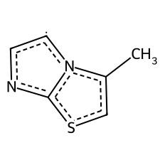 Cc1csc2nc[c]n12